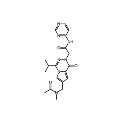 CC(=O)N(C)Cc1cc2c(=O)n(CC(=O)Nc3ccncn3)nc(C(C)C)n2c1